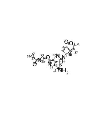 C[C@@H]1OC(=O)c2ccc(Nc3cc4c(C(C)(C)N)cnc(OC5CN(C(=O)C6CC6)C5)c4cn3)nc2[C@H]1C